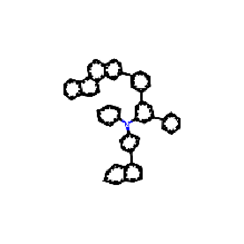 c1ccc(-c2cc(-c3cccc(-c4ccc5ccc6c7ccccc7ccc6c5c4)c3)cc(N(c3ccccc3)c3ccc(-c4cccc5ccccc45)cc3)c2)cc1